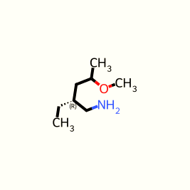 CC[C@@H](CN)CC(C)OC